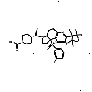 O=C(O)[C@H]1CC[C@H](C(=O)N2CCC3(S(=O)(=O)c4cccc(F)c4)c4ccc(C(F)(C(F)(F)F)C(F)(F)F)nc4CCC23)CC1